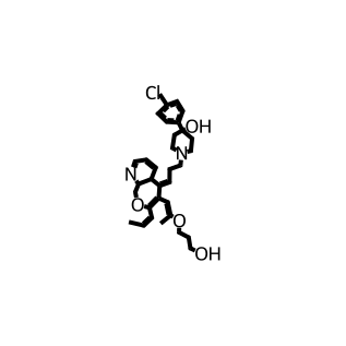 C/C=C\C1=C(/C=C(\C)OCCCO)C(=C/CCN2CCC(O)(c3ccc(Cl)cc3)CC2)/C2C=CC=NC2CO1